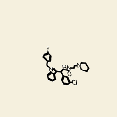 O=C(CC(c1cccc(Cl)c1)c1cn(Cc2ccc(F)cc2)c2ccccc12)NCCN1CCCCC1